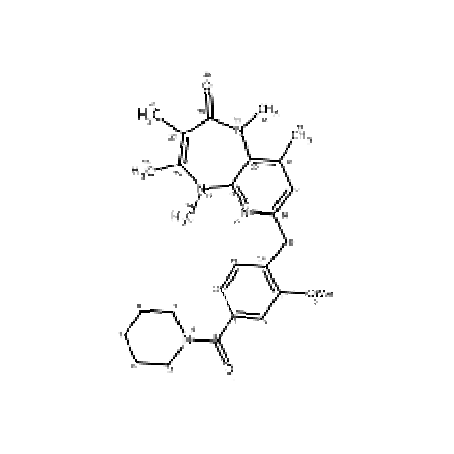 COc1cc(C(=O)N2CCCCC2)ccc1Cc1cc(C)c2c(n1)N(C)C(C)=C(C)C(=O)N2C